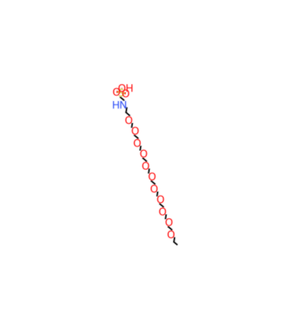 CCCOCCOCCOCCOCCOCCOCCOCCOCCOCCOCCOCCCNCCS(=O)(=O)O